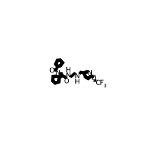 O=C(NCCNCc1ccc(OCC(F)(F)F)nc1)c1cn(C(=O)c2ccccc2)c2ccccc12